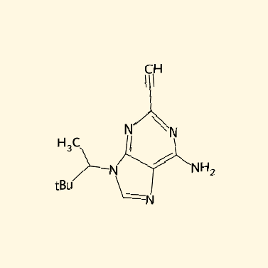 C#Cc1nc(N)c2ncn(C(C)C(C)(C)C)c2n1